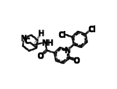 O=C(N[C@@H]1CN2CCC1CC2)c1ccc(=O)n(-c2ccc(Cl)cc2Cl)c1